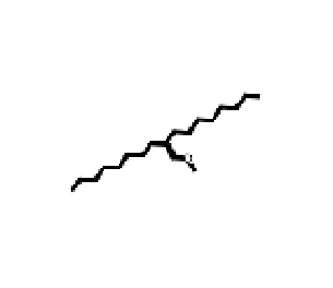 CCCCCCCCC(=COC)CCCCCCCC